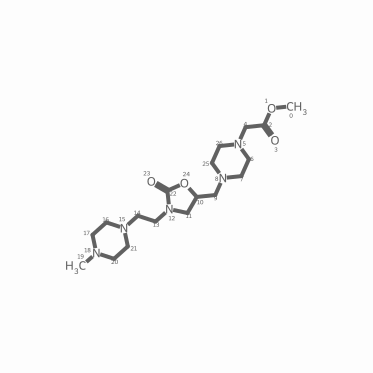 COC(=O)CN1CCN(CC2CN(CCN3CCN(C)CC3)C(=O)O2)CC1